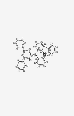 c1ccc(-c2cc(-c3ccccc3)cc(N3c4ccccc4-n4c5ccccc5c5cccc3c54)c2)cc1